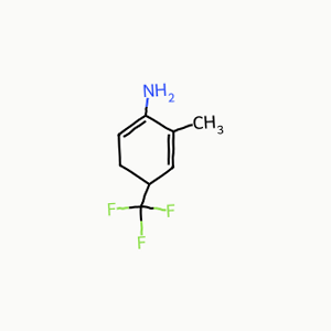 CC1=CC(C(F)(F)F)CC=C1N